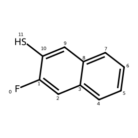 Fc1cc2ccccc2cc1S